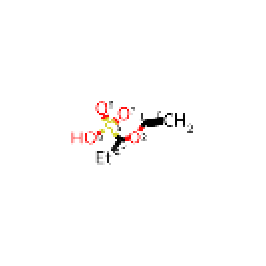 C=COC(CC)S(=O)(=O)O